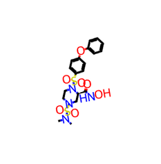 CN(C)S(=O)(=O)N1CCN(S(=O)(=O)c2ccc(Oc3ccccc3)cc2)[C@@H](C(=O)NO)C1